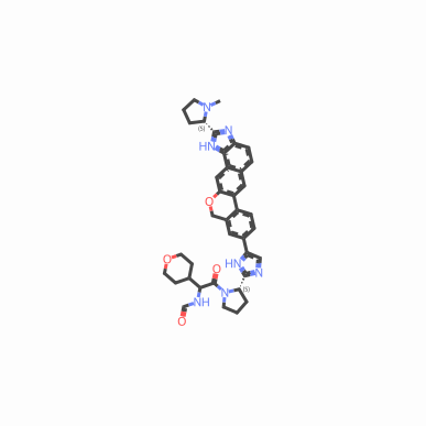 CN1CCC[C@H]1c1nc2ccc3cc4c(cc3c2[nH]1)OCc1cc(-c2cnc([C@@H]3CCCN3C(=O)C(NC=O)C3CCOCC3)[nH]2)ccc1-4